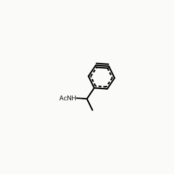 CC(=O)NC(C)c1cc#ccc1